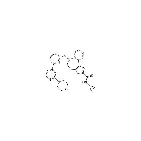 O=C(NC1CC1)c1cc2c(s1)-c1ccccc1N(Sc1cccc(-c3ccnc(N4CCOCC4)c3)n1)CC2